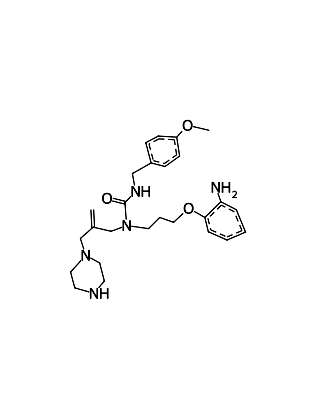 C=C(CN1CCNCC1)CN(CCCOc1ccccc1N)C(=O)NCc1ccc(OC)cc1